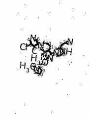 Cc1c(Cl)cncc1N1CCCc2c(nc(OC[C@@H]3CCCN3C)nc2N2CCNC(CC#N)C2)C1